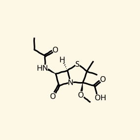 CCC(=O)N[C@@H]1C(=O)N2[C@@H]1SC(C)(C)[C@]2(OC)C(=O)O